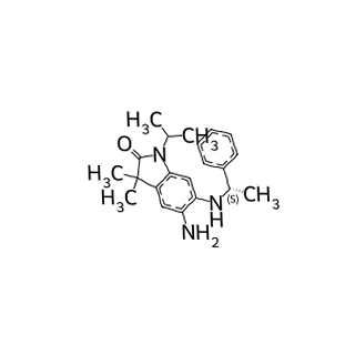 CC(C)N1C(=O)C(C)(C)c2cc(N)c(N[C@@H](C)c3ccccc3)cc21